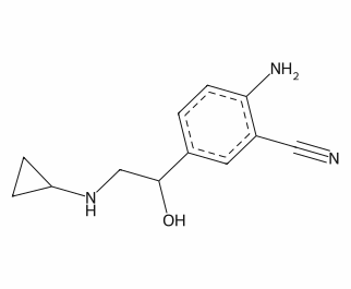 N#Cc1cc(C(O)CNC2CC2)ccc1N